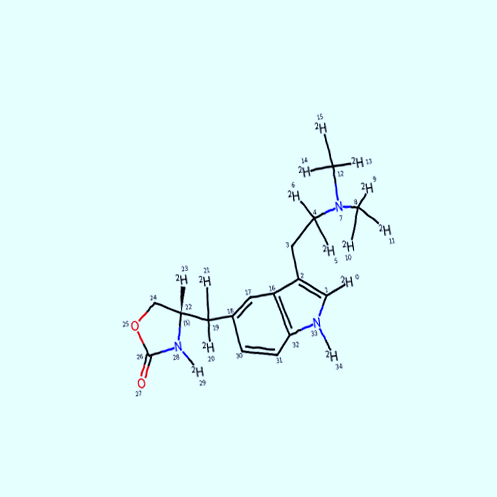 [2H]c1c(CC([2H])([2H])N(C([2H])([2H])[2H])C([2H])([2H])[2H])c2cc(C([2H])([2H])[C@@]3([2H])COC(=O)N3[2H])ccc2n1[2H]